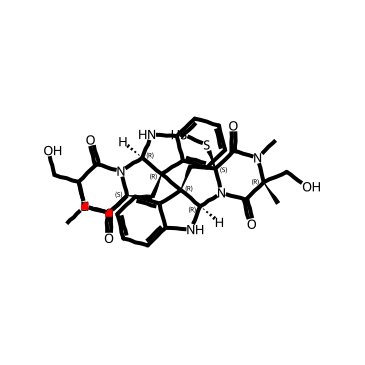 CN1C(=O)[C@@]23C[C@]4([C@]56C[C@]7(SS)C(=O)N(C)[C@](C)(CO)C(=O)N7[C@H]5Nc5ccccc56)c5ccccc5N[C@@H]4N2C(=O)C1(CO)SS3